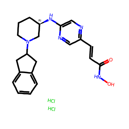 Cl.Cl.O=C(C=Cc1cnc(N[C@@H]2CCCN(C3Cc4ccccc4C3)C2)cn1)NO